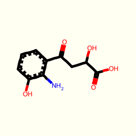 Nc1c(O)cccc1C(=O)CC(O)C(=O)O